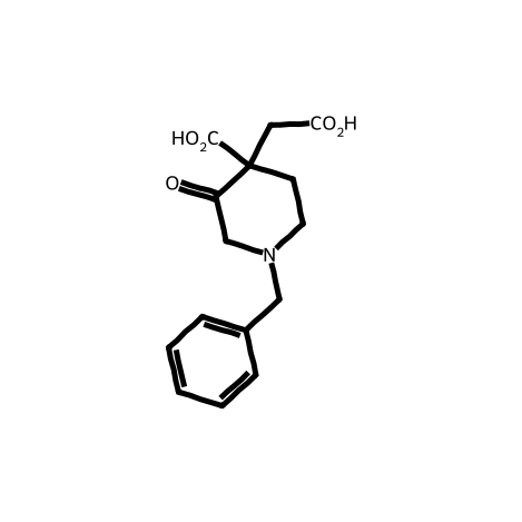 O=C(O)CC1(C(=O)O)CCN(Cc2ccccc2)CC1=O